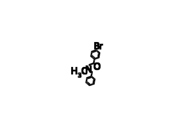 CN(CC(=O)c1ccc(Br)cc1)Cc1ccccc1